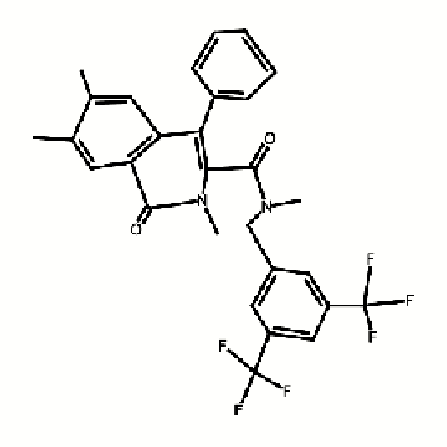 Cc1cc2c(-c3ccccc3)c(C(=O)N(C)Cc3cc(C(F)(F)F)cc(C(F)(F)F)c3)n(C)c(=O)c2cc1C